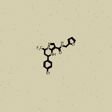 CCc1ccc(C2CC(C(F)(F)F)n3ncc(C(=O)NCc4ccco4)c3N2)cc1